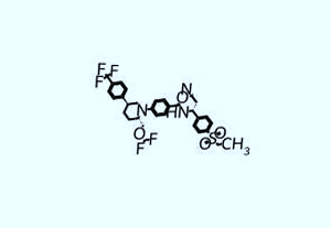 CCS(=O)(=O)c1ccc([C@@H](CC#N)NC(=O)c2ccc(N3C[C@H](c4ccc(C(F)(F)F)cc4)CC[C@H]3COC(F)F)cc2)cc1